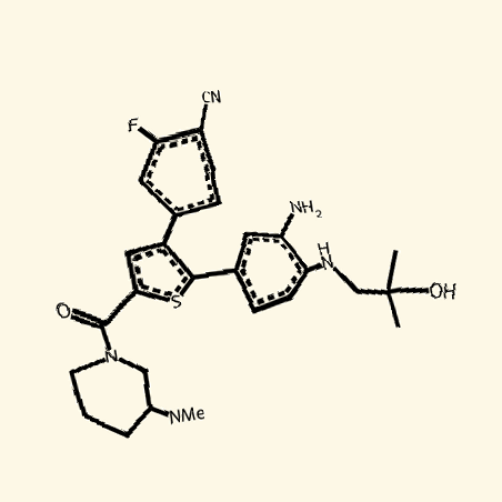 CNC1CCCN(C(=O)c2cc(-c3ccc(C#N)c(F)c3)c(-c3ccc(NCC(C)(C)O)c(N)c3)s2)C1